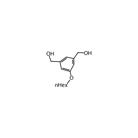 CCCCCCOc1cc(CO)cc(CO)c1